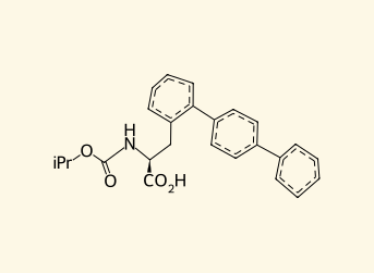 CC(C)OC(=O)N[C@@H](Cc1ccccc1-c1ccc(-c2ccccc2)cc1)C(=O)O